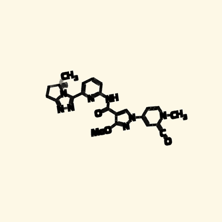 COc1nn(C2=CC(=C=O)N(C)C=C2)cc1C(=O)Nc1cccc(-c2nnc3n2[C@@H](C)CC3)n1